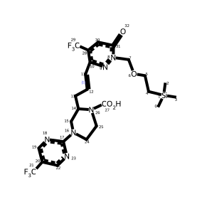 C[Si](C)(C)CCOCn1nc(/C=C/CC2CN(c3ncc(C(F)(F)F)cn3)CCN2C(=O)O)c(C(F)(F)F)cc1=O